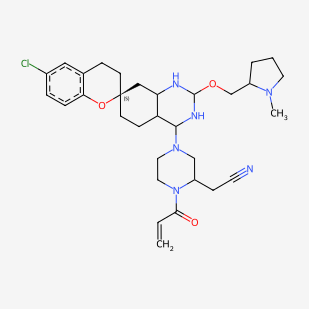 C=CC(=O)N1CCN(C2NC(OCC3CCCN3C)NC3C[C@@]4(CCc5cc(Cl)ccc5O4)CCC32)CC1CC#N